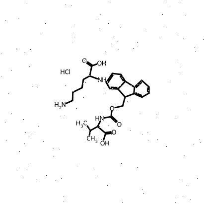 CC(C)C(NC(=O)OCC1c2ccccc2-c2ccccc21)C(=O)O.Cl.NCCCCC(N)C(=O)O